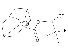 CC(F)(F)C(OC(=O)C12CC3CC(C1)C(=O)C(C3)C2)C(F)(F)F